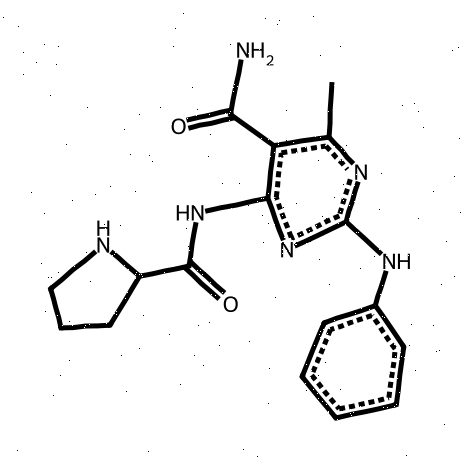 Cc1nc(Nc2ccccc2)nc(NC(=O)C2CCCN2)c1C(N)=O